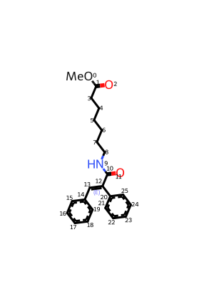 COC(=O)CCCCCCNC(=O)/C(=C/c1ccccc1)c1ccccc1